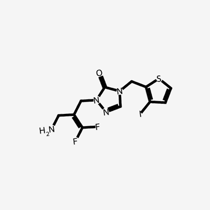 NCC(Cn1ncn(Cc2sccc2I)c1=O)=C(F)F